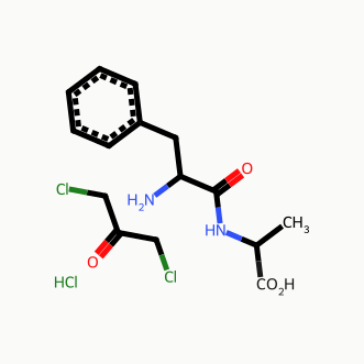 CC(NC(=O)C(N)Cc1ccccc1)C(=O)O.Cl.O=C(CCl)CCl